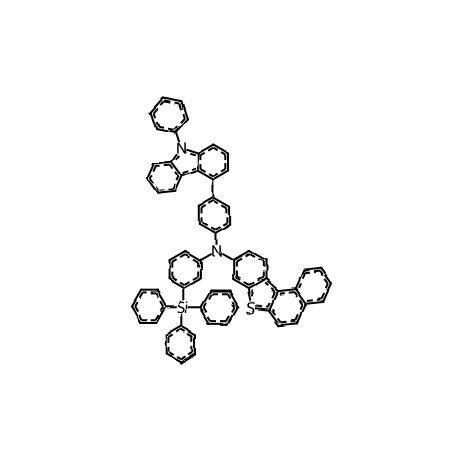 c1ccc(-n2c3ccccc3c3c(-c4ccc(N(c5cccc([Si](c6ccccc6)(c6ccccc6)c6ccccc6)c5)c5ccc6c(c5)sc5ccc7ccccc7c56)cc4)cccc32)cc1